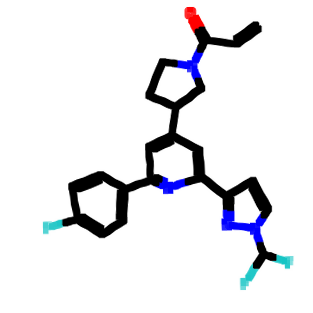 C=CC(=O)N1CCC(c2cc(-c3ccc(F)cc3)nc(-c3ccn(C(F)F)n3)c2)C1